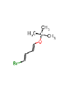 C[Si](C)(C)OC=CC=CBr